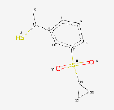 CC(S)c1cccc(S(=O)(=O)C2CC2)c1